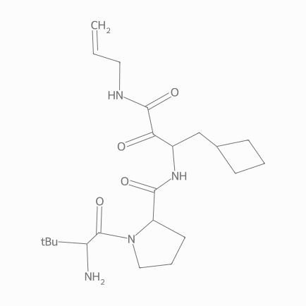 C=CCNC(=O)C(=O)C(CC1CCC1)NC(=O)C1CCCN1C(=O)C(N)C(C)(C)C